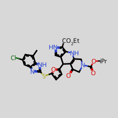 CCOC(=O)c1[nH]cc2c1NC1=C(C(=O)CN(C(=O)OC(C)C)C1)C2c1ccc(Sc2nc3cc(Cl)cc(C)c3[nH]2)o1